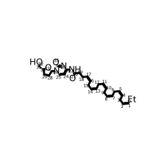 CC/C=C\C/C=C\C/C=C\C/C=C\C/C=C\C/C=C\CCC(=O)Nc1ccn(C2CC[C@@H](CO)O2)c(=O)n1